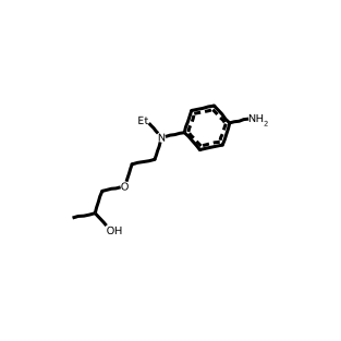 CCN(CCOCC(C)O)c1ccc(N)cc1